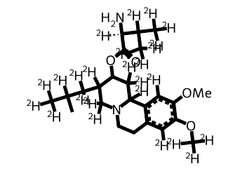 [2H]c1c2c(c([2H])c(OC)c1OC([2H])([2H])[2H])C1([2H])N(CC2)C([2H])([2H])C([2H])(C([2H])([2H])C([2H])(C)C([2H])([2H])[2H])C(OC(=O)[C@@]([2H])(N)C([2H])(C([2H])([2H])[2H])C([2H])([2H])[2H])C1([2H])[2H]